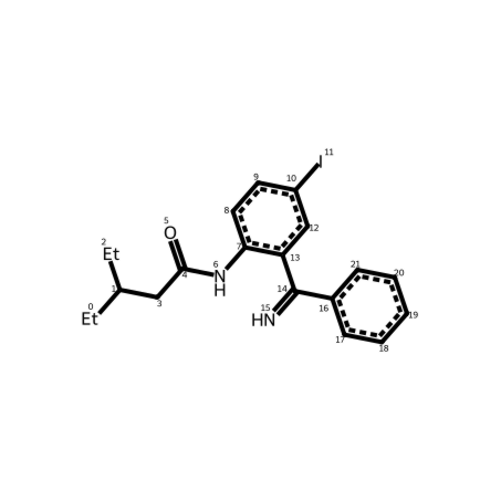 CCC(CC)CC(=O)Nc1ccc(I)cc1C(=N)c1ccccc1